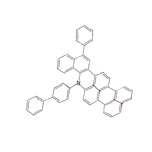 c1ccc(-c2ccc(-c3cc(-c4ccccc4)c4ccccc4c3N(c3ccc(-c4ccccc4)cc3)c3ccc(-c4ccccc4)cc3)cc2)cc1